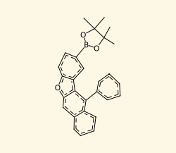 CC1(C)OB(c2ccc3oc4cc5ccccc5c(-c5ccccc5)c4c3c2)OC1(C)C